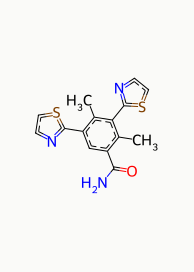 Cc1c(C(N)=O)cc(-c2nccs2)c(C)c1-c1nccs1